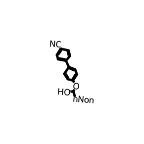 CCCCCCCCCC(O)Oc1ccc(-c2ccc(C#N)cc2)cc1